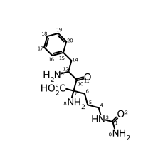 NC(=O)NCCCC(N)(C(=O)O)C(=O)C(N)Cc1ccccc1